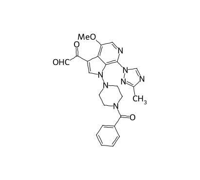 COc1cnc(-n2cnc(C)n2)c2c1c(C(=O)C=O)cn2N1CCN(C(=O)c2ccccc2)CC1